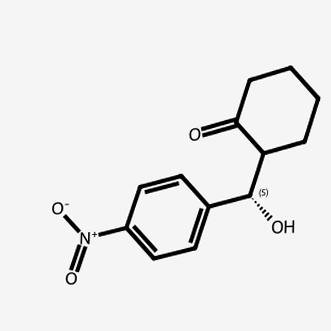 O=C1CCCCC1[C@H](O)c1ccc([N+](=O)[O-])cc1